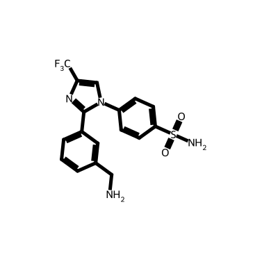 NCc1cccc(-c2nc(C(F)(F)F)cn2-c2ccc(S(N)(=O)=O)cc2)c1